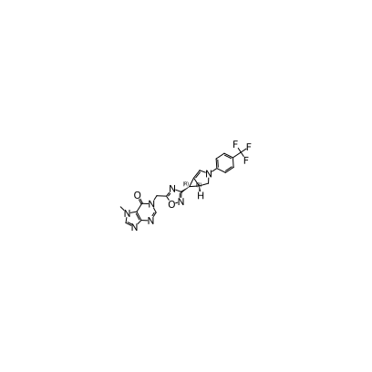 Cn1cnc2ncn(Cc3nc([C@H]4C5=CN(c6ccc(C(F)(F)F)cc6)C[C@@H]54)no3)c(=O)c21